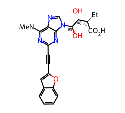 CC[C@H](C(=O)O)[C@@H](O)[C@@H](O)n1cnc2c(NC)nc(C#Cc3cc4ccccc4o3)nc21